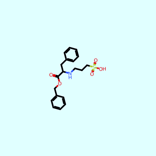 O=C(OCc1ccccc1)C(Cc1ccccc1)NCCCS(=O)(=O)O